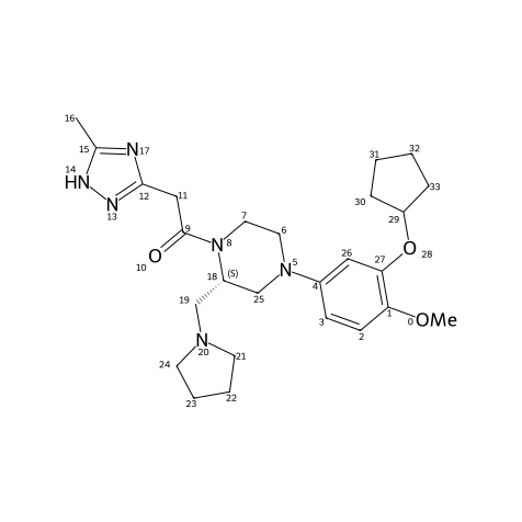 COc1ccc(N2CCN(C(=O)Cc3n[nH]c(C)n3)[C@@H](CN3CCCC3)C2)cc1OC1CCCC1